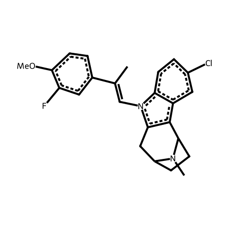 COc1ccc(/C(C)=C/n2c3c(c4cc(Cl)ccc42)C2CCC(C3)N2C)cc1F